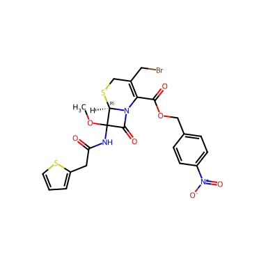 COC1(NC(=O)Cc2cccs2)C(=O)N2C(C(=O)OCc3ccc([N+](=O)[O-])cc3)=C(CBr)CS[C@@H]21